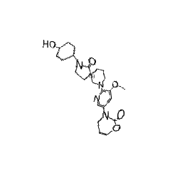 COc1cc(N2CCCOC2=O)cnc1N1CCC[C@]2(CCN(C3CCC(O)CC3)C2=O)C1